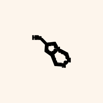 [RaH][c]1cc2cnncn2c1